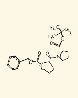 CC(C)(C)OC(=O)[C@@H]1CCCN1C(=O)[C@@H]1CCCN1C(=O)OCc1ccccc1